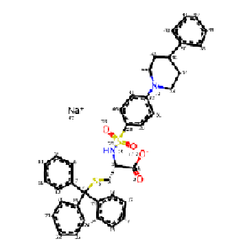 O=C([O-])[C@H](CSC(c1ccccc1)(c1ccccc1)c1ccccc1)NS(=O)(=O)c1ccc(N2CCC(c3ccccc3)CC2)cc1.[Na+]